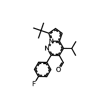 CC(C)c1c(C=O)c(-c2ccc(F)cc2)nn2c(C(C)(C)C)ccc12